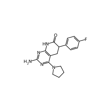 Nc1nc2c(c(N3CCCC3)n1)CC(c1ccc(F)cc1)C(=O)N2